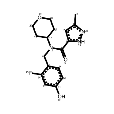 Cc1cc(C(=O)N(Cc2ccc(O)cc2F)C2CCOCC2)[nH]n1